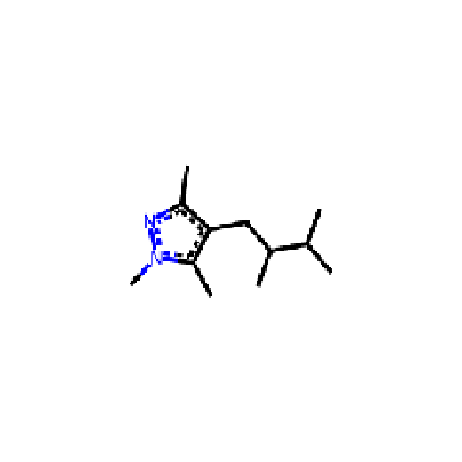 Cc1nn(C)c(C)c1CC(C)C(C)C